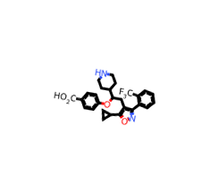 O=C(O)c1ccc(OC(Cc2c(-c3ccccc3C(F)(F)F)noc2C2CC2)C2CCNCC2)cc1